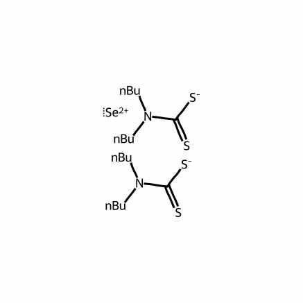 CCCCN(CCCC)C(=S)[S-].CCCCN(CCCC)C(=S)[S-].[Se+2]